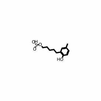 Cc1ccc(O)c(CCCCCO[SH](=O)=O)c1